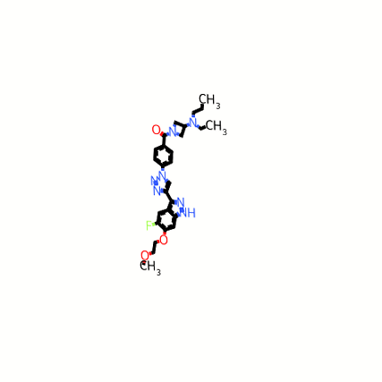 CCCN(CC)C1CN(C(=O)c2ccc(-n3cc(-c4n[nH]c5cc(OCCOC)c(F)cc45)nn3)cc2)C1